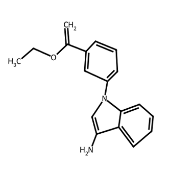 C=C(OCC)c1cccc(-n2cc(N)c3ccccc32)c1